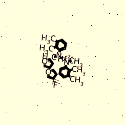 C1CCOC1.C1CCOC1.Cc1cccc([N](C)[Hf+2][N](C)c2cccc(C)c2C)c1C.[F-].[F-]